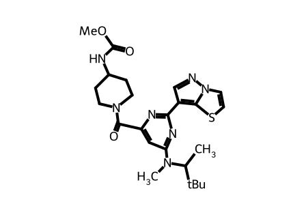 COC(=O)NC1CCN(C(=O)c2cc(N(C)C(C)C(C)(C)C)nc(-c3cnn4ccsc34)n2)CC1